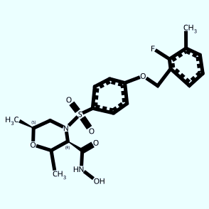 Cc1cccc(COc2ccc(S(=O)(=O)N3C[C@H](C)OC(C)[C@@H]3C(=O)NO)cc2)c1F